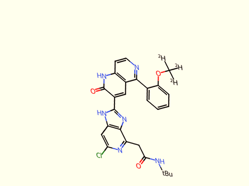 [2H]C([2H])([2H])Oc1ccccc1-c1nccc2[nH]c(=O)c(-c3nc4c(CC(=O)NC(C)(C)C)nc(Cl)cc4[nH]3)cc12